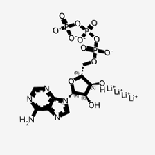 Nc1ncnc2c1ncn2[C@@H]1O[C@H](COP(=O)([O-])OP(=O)([O-])OP(=O)([O-])[O-])[C@@H](O)[C@H]1O.[Li+].[Li+].[Li+].[Li+]